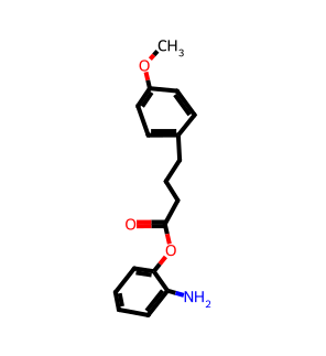 COc1ccc(CCCC(=O)Oc2ccccc2N)cc1